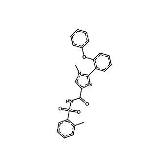 Cc1ccccc1S(=O)(=O)NC(=O)c1cn(C)c(-c2ccccc2Oc2ccccc2)n1